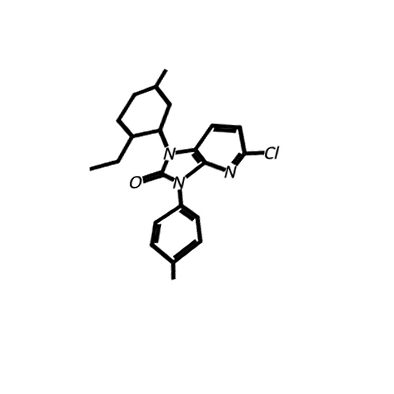 CCC1CCC(C)CC1n1c(=O)n(-c2ccc(C)cc2)c2nc(Cl)ccc21